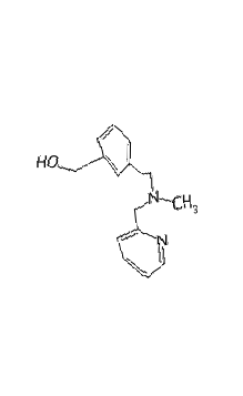 CN(Cc1cccc(CO)c1)Cc1ccccn1